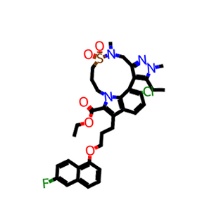 CCOC(=O)c1c(CCCOc2cccc3cc(F)ccc23)c2ccc(Cl)c3c2n1CCCS(=O)(=O)N(C)Cc1nn(C)c(CC)c1-3